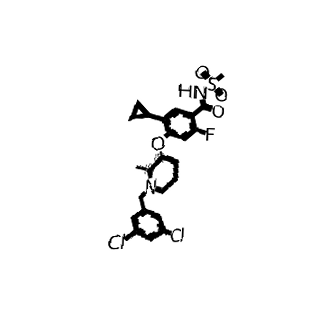 C[C@H]1[C@H](Oc2cc(F)c(C(=O)NS(C)(=O)=O)cc2C2CC2)CCCN1Cc1cc(Cl)cc(Cl)c1